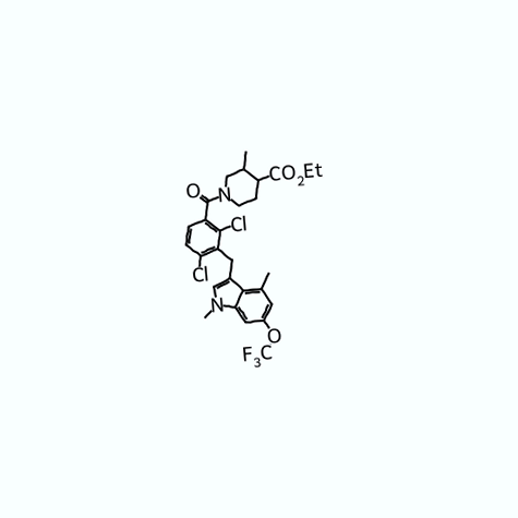 CCOC(=O)C1CCN(C(=O)c2ccc(Cl)c(Cc3cn(C)c4cc(OC(F)(F)F)cc(C)c34)c2Cl)CC1C